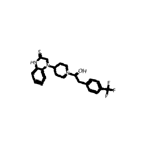 OC(Cc1ccc(C(F)(F)F)cc1)N1CCC(N2CC(=S)Nc3ccccc32)CC1